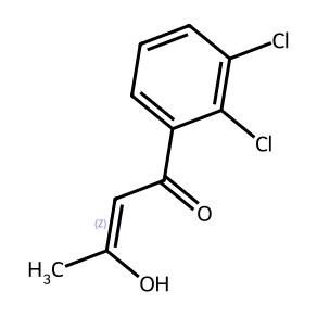 C/C(O)=C/C(=O)c1cccc(Cl)c1Cl